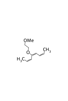 C\C=C/C=C(\C=C/C)OCCOC